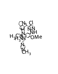 C=CC(=O)Nc1cc(Nc2ncc(Cl)c(-c3cn4c5c(cccc35)CCC4)n2)c(OC)cc1N(C)CCN1CCN(C)CC1